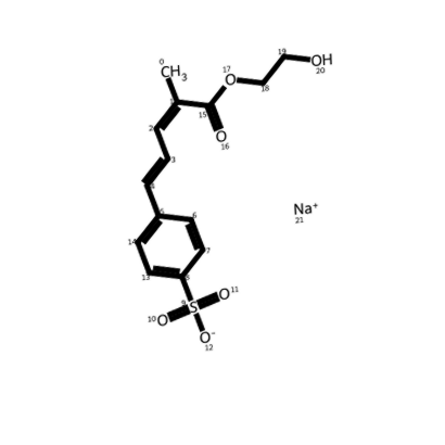 CC(=CC=Cc1ccc(S(=O)(=O)[O-])cc1)C(=O)OCCO.[Na+]